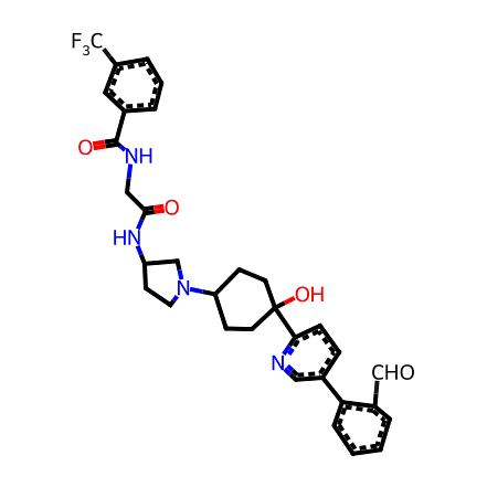 O=Cc1ccccc1-c1ccc(C2(O)CCC(N3CCC(NC(=O)CNC(=O)c4cccc(C(F)(F)F)c4)C3)CC2)nc1